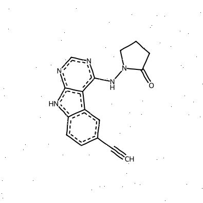 C#Cc1ccc2[nH]c3ncnc(NN4CCCC4=O)c3c2c1